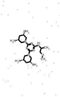 COCC(C)Nc1nc(N2C[C@H](N)C[C@H](N)C2)nc(N2C[C@H](N)C[C@H](N)C2)n1